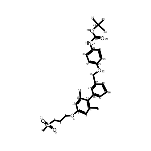 Cc1cc(OCCCS(C)(=O)=O)cc(C)c1-c1cccc(COc2ccc(NC(=O)OC(C)(C)C)cc2)c1